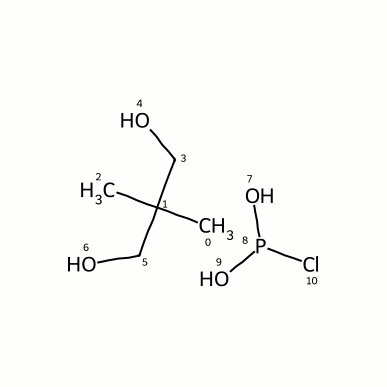 CC(C)(CO)CO.OP(O)Cl